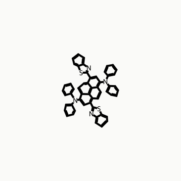 c1ccc(N(c2ccccc2)c2cc(-c3nc4ccccc4s3)c3ccc4c(N(c5ccccc5)c5ccccc5)cc(-c5nc6ccccc6s5)c5ccc2c3c54)cc1